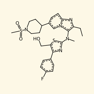 CCc1nc2ccc(C3CCN(S(C)(=O)=O)CC3)cn2c1N(C)c1nc(-c2ccc(F)cc2)c(CO)s1